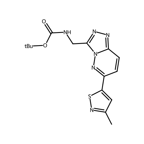 Cc1cc(-c2ccc3nnc(CNC(=O)OC(C)(C)C)n3n2)sn1